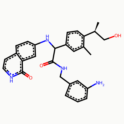 Cc1cc(C(Nc2ccc3cc[nH]c(=O)c3c2)C(=O)NCc2cccc(N)c2)ccc1[C@@H](C)CO